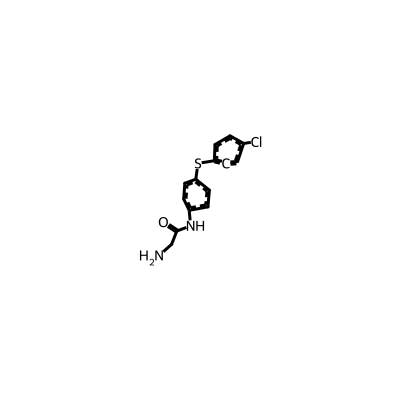 NCC(=O)Nc1ccc(Sc2ccc(Cl)cc2)cc1